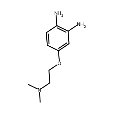 CN(C)CCOc1ccc(N)c(N)c1